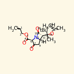 C=CCOC(=O)[C@@H]1C(=O)C[C@@H]2[C@@H]([C@@](C)(O[SiH](C)C)C(C)(C)C)C(=O)N12